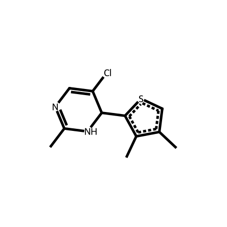 CC1=NC=C(Cl)C(c2scc(C)c2C)N1